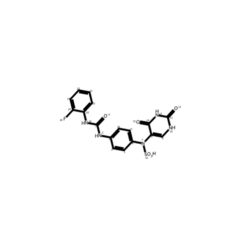 O=C(Nc1ccc(N(c2c[nH]c(=O)[nH]c2=O)S(=O)(=O)O)cc1)Nc1ccccc1F